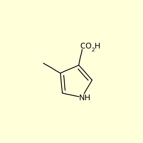 Cc1c[nH]cc1C(=O)O